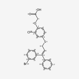 O=C(O)COc1ccc(SC/C=C(/c2ccccc2)c2cccc(Br)c2)cc1Cl